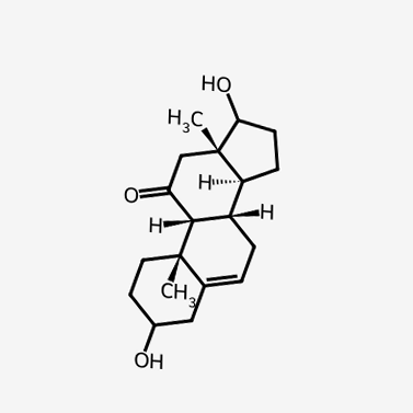 C[C@]12CCC(O)CC1=CC[C@@H]1[C@H]2C(=O)C[C@]2(C)C(O)CC[C@@H]12